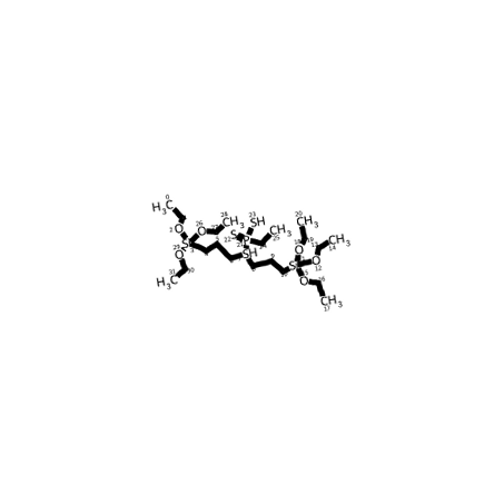 CCO[Si](CCC[SH](CCC[Si](OCC)(OCC)OCC)P(=S)(S)CC)(OCC)OCC